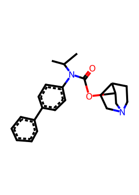 CC(C)N(C(=O)OC1CN2CCC1CC2)c1ccc(-c2ccccc2)cc1